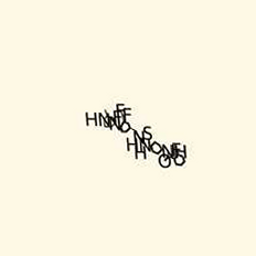 CC1CN(c2ccc(CNC(=S)Nc3ccc(NC(=O)c4ccccc4F)cc3)cc2C(F)(F)F)CCN1